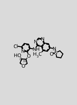 Cc1cc(N=S2(=O)CCCC2)cc2ncnc(Nc3ccc(Cl)nc3O[C@H]3COC[C@@H]3O)c12